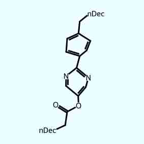 CCCCCCCCCCCC(=O)Oc1cnc(-c2ccc(CCCCCCCCCCC)cc2)nc1